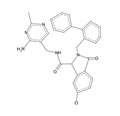 Cc1ncc(CNC(=O)C2c3cc(Cl)ccc3C(=O)N2Cc2ccccc2-c2ccccc2)c(N)n1